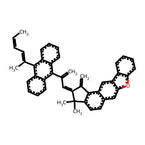 C=C1/C(=C\C(=C)c2c3ccccc3c(/C(C)=C/C=C\C)c3ccccc23)C(C)(C)c2ccc3cc4oc5ccccc5c4cc3c21